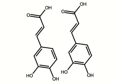 O=C(O)C=Cc1ccc(O)c(O)c1.O=C(O)C=Cc1ccc(O)c(O)c1